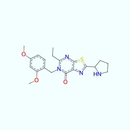 CCc1nc2sc(C3CCCN3)nc2c(=O)n1Cc1ccc(OC)cc1OC